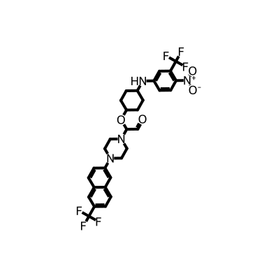 O=CC(OC1CCC(Nc2ccc([N+](=O)[O-])c(C(F)(F)F)c2)CC1)N1CCN(c2ccc3cc(C(F)(F)F)ccc3c2)CC1